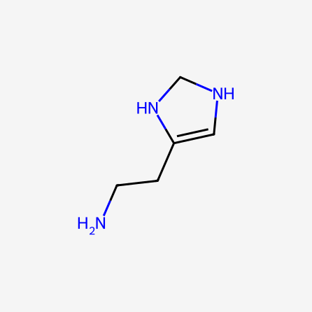 NCCC1=CNCN1